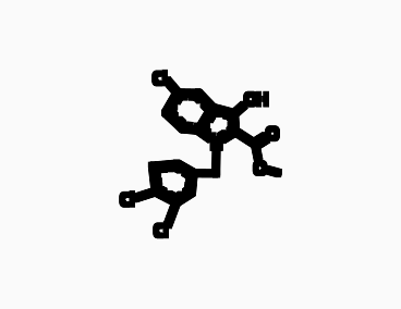 COC(=O)c1c(O)c2cc(Cl)ccc2n1Cc1ccc(Cl)c(Cl)c1